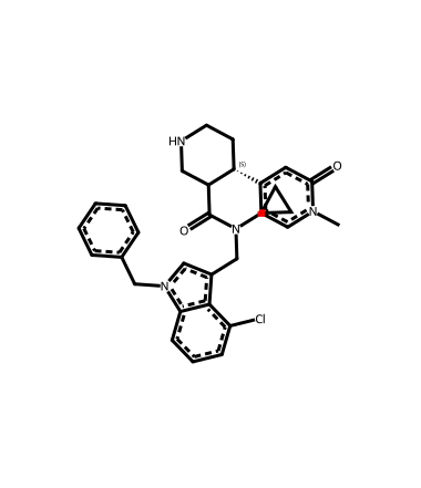 Cn1ccc([C@H]2CCNCC2C(=O)N(Cc2cn(Cc3ccccc3)c3cccc(Cl)c23)C2CC2)cc1=O